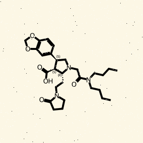 CCCCN(CCCC)C(=O)CN1C[C@H](c2ccc3c(c2)OCO3)[C@H](C(=O)O)[C@H]1CCN1CCCC1=O